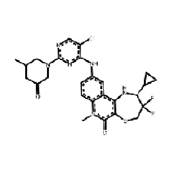 CC1CC(=O)CN(c2ncc(Cl)c(Nc3ccc4c(c3)c3c(c(=O)n4C)OCC(F)(F)[C@H](C4CC4)N3)n2)C1